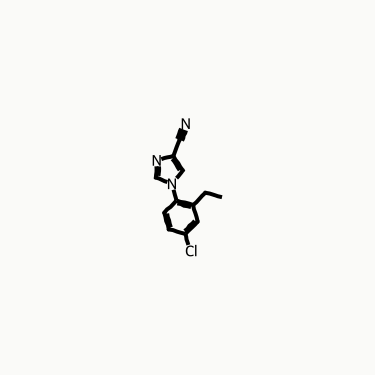 CCc1cc(Cl)ccc1-n1cnc(C#N)c1